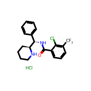 Cl.O=C(N[C@@H](c1ccccc1)[C@@H]1CCCCN1)c1cccc(C(F)(F)F)c1Cl